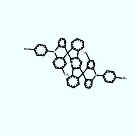 Cc1ccc2c(c1)C1(c3ccccc3-c3cc4c(cc31)-c1ccccc1C41c3ccccc3N(c3ccc(C(C)(C)C)cc3)c3ccc(C)cc31)c1ccccc1N2c1ccc(C(C)(C)C)cc1